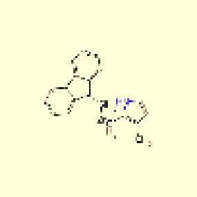 Cc1cc[nH]c1C.[Zr][SiH2]C1c2ccccc2-c2ccccc21